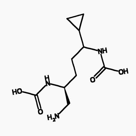 NC[C@H](CCC(NC(=O)O)C1CC1)NC(=O)O